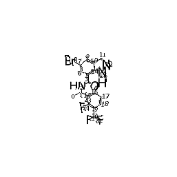 C[C@@H](NC(=O)c1cc(Br)cc2cn[nH]c12)c1cccc(C(F)F)c1F